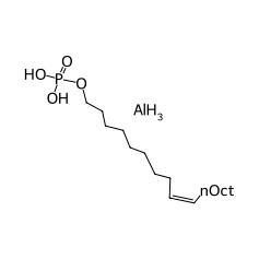 CCCCCCCC/C=C\CCCCCCCCOP(=O)(O)O.[AlH3]